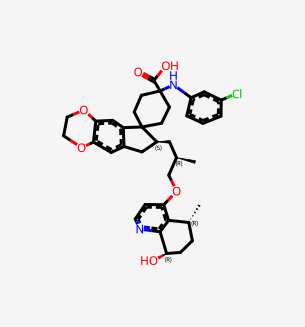 C[C@@H](COc1ccnc2c1[C@H](C)CC[C@H]2O)C[C@H]1Cc2cc3c(cc2C12CCC(Nc1cccc(Cl)c1)(C(=O)O)CC2)OCCO3